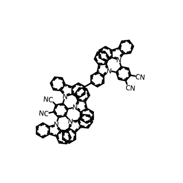 N#Cc1cc(-n2c3ccccc3c3ccccc32)c(-n2c3ccccc3c3cc(-c4ccc5c(c4)c4ccccc4n5-c4c(C#N)c(C#N)c(-n5c6ccccc6c6ccccc65)c(-n5c6ccccc6c6ccccc65)c4-n4c5ccccc5c5ccccc54)ccc32)cc1C#N